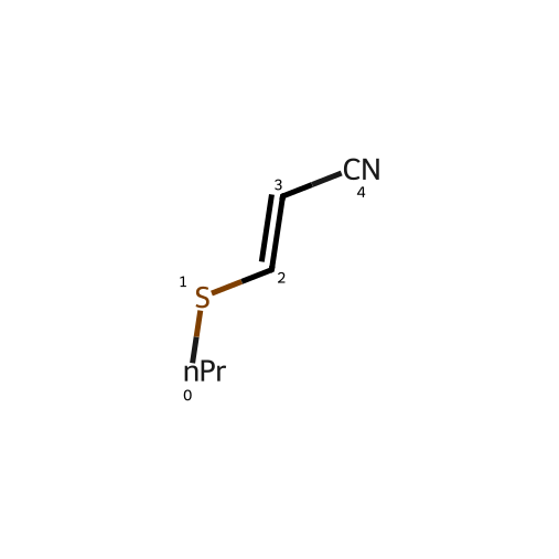 [CH2]CCSC=CC#N